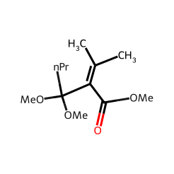 CCCC(OC)(OC)C(C(=O)OC)=C(C)C